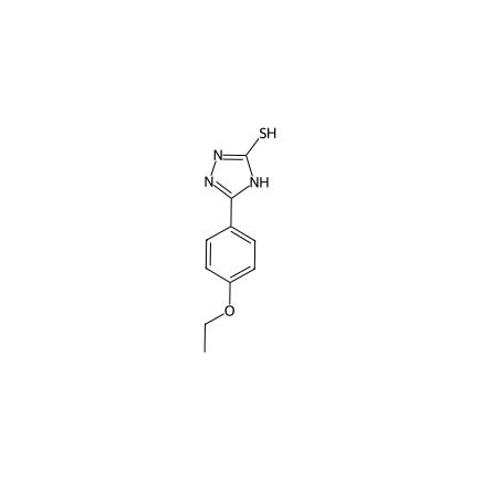 CCOc1ccc(-c2nnc(S)[nH]2)cc1